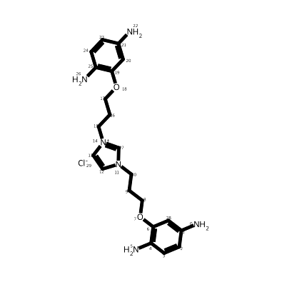 Nc1ccc(N)c(OCCCn2cc[n+](CCCOc3cc(N)ccc3N)c2)c1.[Cl-]